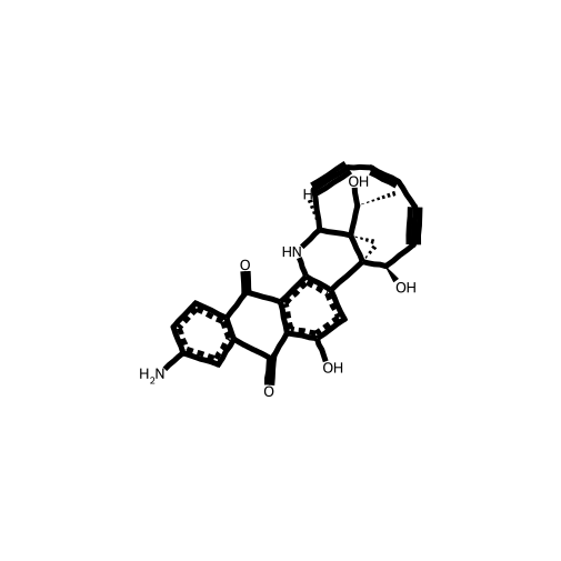 C[C@@H](O)[C@@]12C[C@]13c1cc(O)c4c(c1N[C@H]2C#C/C=C\C#C[C@H]3O)C(=O)c1ccc(N)cc1C4=O